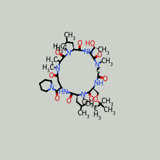 CC(C)C[C@H]1C(=O)N[C@@H]([C@@H](C)O)C(=O)N(C)CC(=O)N[C@@H](COC(C)(C)C)C(=O)N(C)[C@@H](CC(C)C)C(=O)NC(C(=O)N2CCCCC2)CC(=O)N(C)C(C)C(=O)N1C